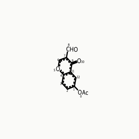 CC(=O)Oc1ccc2occ(C=O)c(=O)c2c1